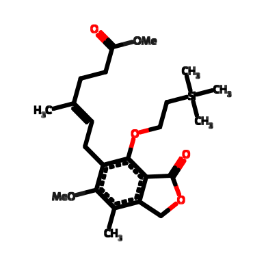 COC(=O)CC/C(C)=C/Cc1c(OC)c(C)c2c(c1OCC[Si](C)(C)C)C(=O)OC2